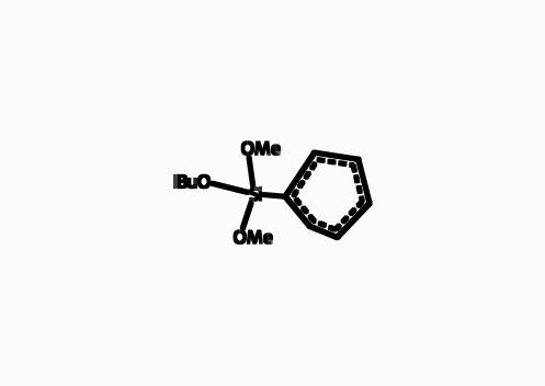 CO[Si](OC)(OCC(C)C)c1ccccc1